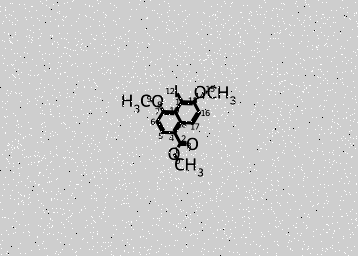 COC(=O)c1ccc(OC)c2c(I)c(OC)ccc12